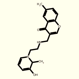 Cc1ccc2occ(CNCCN3C=CC=C(O)C3C)c(=O)c2c1